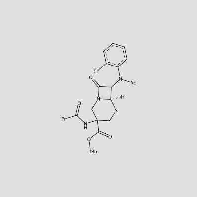 CC(=O)N(c1ccccc1Cl)C1C(=O)N2CC(NC(=O)C(C)C)(C(=O)OC(C)(C)C)CS[C@H]12